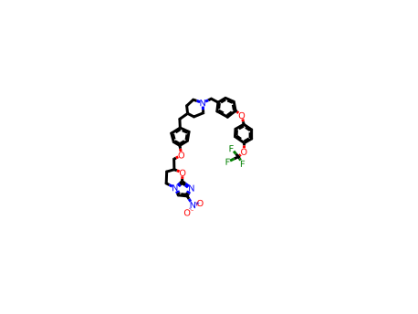 O=[N+]([O-])c1cn2c(n1)OC(COc1ccc(CC3CCN(Cc4ccc(Oc5ccc(OC(F)(F)F)cc5)cc4)CC3)cc1)CC2